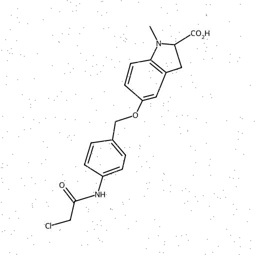 CN1c2ccc(OCc3ccc(NC(=O)CCl)cc3)cc2CC1C(=O)O